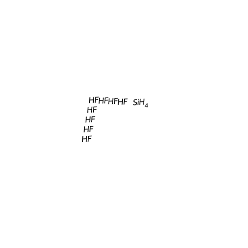 F.F.F.F.F.F.F.F.[SiH4]